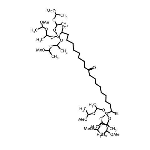 CCC(CCCCCCCCC(=O)CCCCCCCCC(CC)[Si](OC(C)OC(C)OC)(OC(C)OC(C)OC)OC(C)OC(C)OC)[Si](OC(C)OC(C)OC)(OC(C)OC(C)OC)OC(C)OC(C)OC